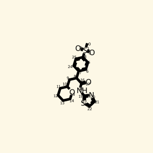 CS(=O)(=O)c1ccc(C(CC2CCCCO2)C(=O)Nc2nccs2)cc1